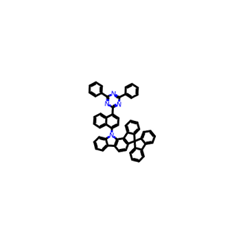 c1ccc(-c2nc(-c3ccccc3)nc(-c3ccc(-n4c5ccccc5c5ccc6c(c54)-c4ccccc4C64c5ccccc5-c5ccccc54)c4ccccc34)n2)cc1